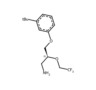 CC(C)(C)c1cccc(OC[C@H](CN)OCC(F)(F)F)c1